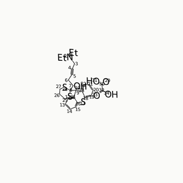 CCN(CC)CC#CCCC1(C2(O)c3ccccc3Sc3ccccc32)SCCCS1.O=C(O)C(=O)O